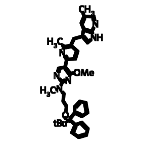 COc1nc(N(C)CCCO[Si](c2ccccc2)(c2ccccc2)C(C)(C)C)ncc1-c1ccc(Cc2c[nH]c3ncc(C)cc23)c(C)n1